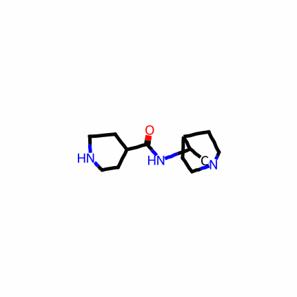 O=C(NC1CN2CCC1CC2)C1CCNCC1